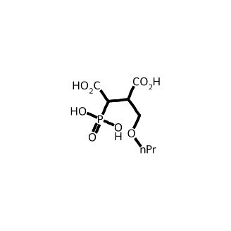 CCCOCC(C(=O)O)C(C(=O)O)P(=O)(O)O